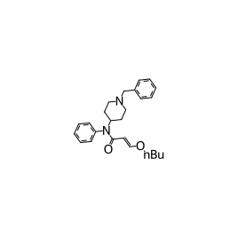 CCCCOC=CC(=O)N(c1ccccc1)C1CCN(Cc2ccccc2)CC1